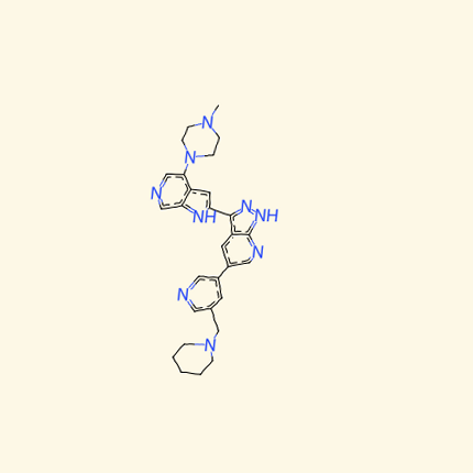 CN1CCN(c2cncc3[nH]c(-c4n[nH]c5ncc(-c6cncc(CN7CCCCC7)c6)cc45)cc23)CC1